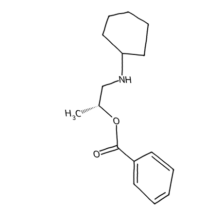 C[C@H](CNC1CCCCC1)OC(=O)c1ccccc1